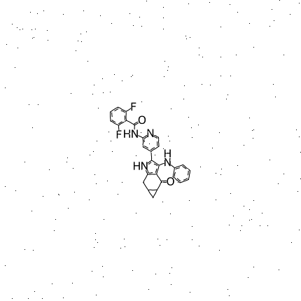 O=C(Nc1cc(-c2[nH]c3c(c2Nc2ccccc2)C(=O)C2CC2C3)ccn1)c1c(F)cccc1F